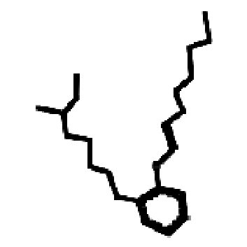 CCCCCCC=COc1c[c]ccc1CCCCCC(C)CC